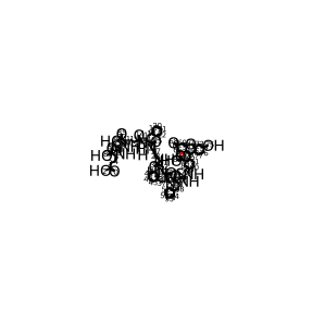 O=C(O)CCC(NC(=O)N[C@@H](CCC(=O)N[C@@H](Cc1ccccc1)C(=O)NCCNC(=O)CNC(=O)[C@H](Cc1ccccc1)NC(=O)[C@H](Cc1ccccc1)NC(=S)Nc1ccc(-c2c3ccc(=O)cc-3oc3cc(O)ccc23)c(C(=O)O)c1)C(=O)O)C(=O)O